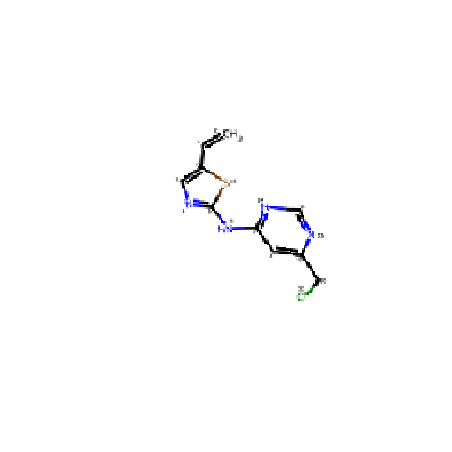 C=Cc1cnc(Nc2cc(CCl)ncn2)s1